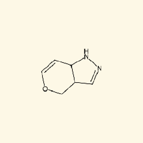 C1=CC2NN=CC2CO1